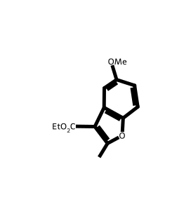 CCOC(=O)c1c(C)oc2ccc(OC)cc12